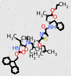 C=CCOC(=O)[C@@H](C)C[C@H](Cc1ccccc1)NC(=O)c1csc([C@@H](C[C@H](C(C)C)N(C)C(=O)[C@@H](NC(=O)OCC2c3ccccc3-c3ccccc32)[C@@H](C)CC)OCC(=C)C)n1